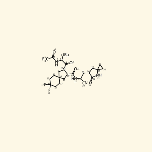 CC(C)(C)[C@H](NC(=O)C(F)(F)F)C(=O)N1CC2(CCC(F)(F)CC2)C[C@H]1C(=O)N[C@H](C#N)C[C@@H]1CC2(CC2)NC1=O